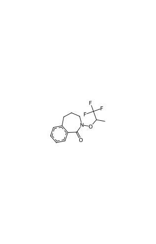 CC(ON1CCCc2ccccc2C1=O)C(F)(F)F